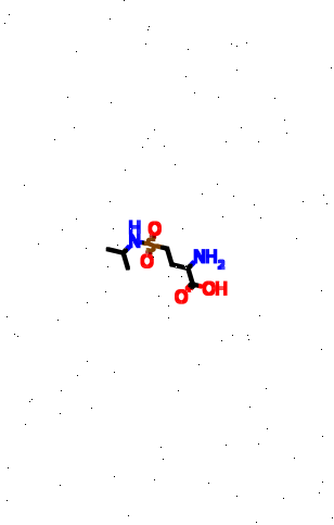 CC(C)NS(=O)(=O)CCC(N)C(=O)O